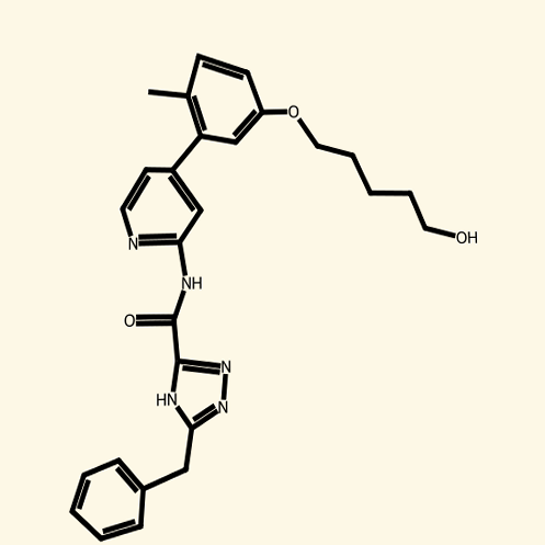 Cc1ccc(OCCCCCO)cc1-c1ccnc(NC(=O)c2nnc(Cc3ccccc3)[nH]2)c1